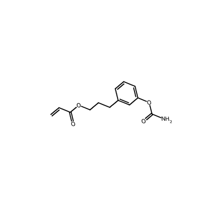 C=CC(=O)OCCCc1cccc(OC(N)=O)c1